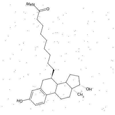 CNC(=O)CCCCCCCC[C@@H]1Cc2cc(O)ccc2C2CC[C@@]3(C)C(CC[C@@H]3O)C21